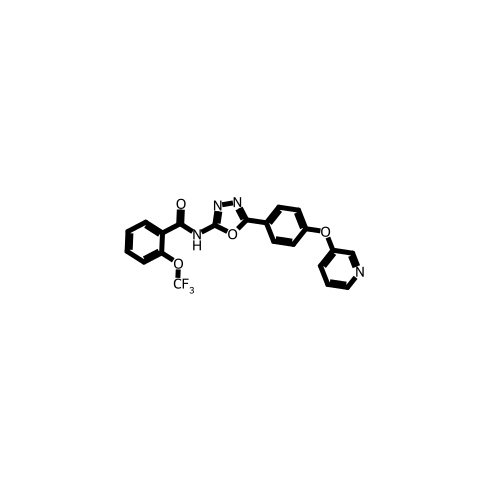 O=C(Nc1nnc(-c2ccc(Oc3cccnc3)cc2)o1)c1ccccc1OC(F)(F)F